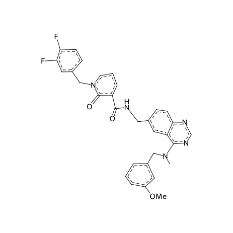 COc1cccc(CN(C)c2ncnc3ccc(CNC(=O)c4cccn(Cc5ccc(F)c(F)c5)c4=O)cc23)c1